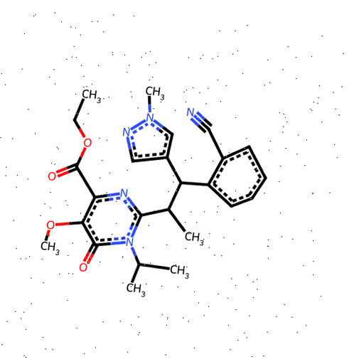 CCOC(=O)c1nc(C(C)C(c2cnn(C)c2)c2ccccc2C#N)n(C(C)C)c(=O)c1OC